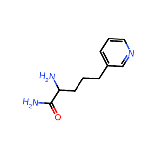 NC(=O)C(N)CCCc1cccnc1